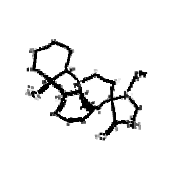 CCCN1CNC(=O)C12CCN(C1CCCCC1(O)c1ccccc1)CC2